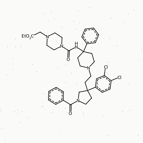 CCOC(=O)CN1CCN(C(=O)NC2(c3ccccc3)CCN(CCC3(c4ccc(Cl)c(Cl)c4)CCN(C(=O)c4ccccc4)C3)CC2)CC1